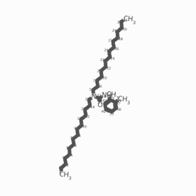 CCCCCCCCCCCCCCCCN(CCCCCCCCCCCCCCCC)C(N)=O.Cc1ccccc1C